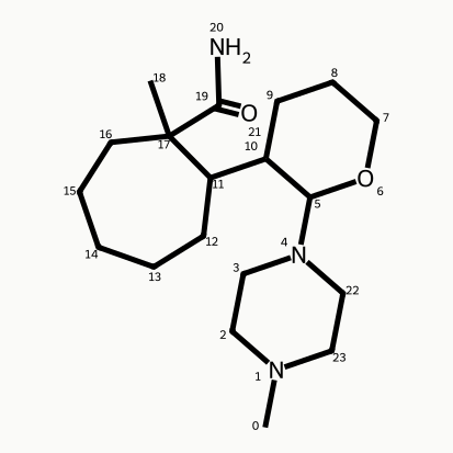 CN1CCN(C2OCCCC2C2CCCCCC2(C)C(N)=O)CC1